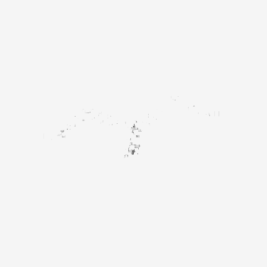 CCCCCCCC/C=C\CCCCCCCCOP(=O)(NCc1cn(C)nn1)OCCCCCCCC/C=C\CCCCCCCC